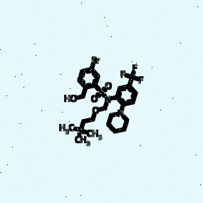 C[Si](C)(C)CCOCN(c1cc(C(F)(F)F)ccc1N1CCCCC1)S(=O)(=O)c1cc(Br)ccc1CO